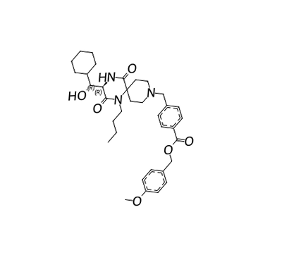 CCCCN1C(=O)[C@@H]([C@H](O)C2CCCCC2)NC(=O)C12CCN(Cc1ccc(C(=O)OCc3ccc(OC)cc3)cc1)CC2